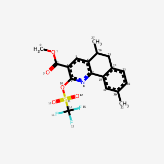 COC(=O)c1cc2c(nc1OS(=O)(=O)C(F)(F)F)-c1cc(C)ccc1CC2C